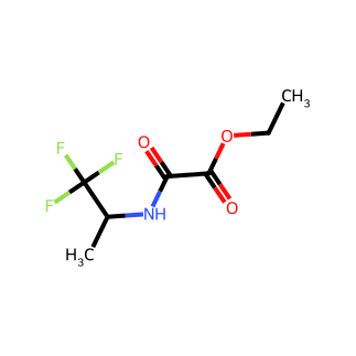 CCOC(=O)C(=O)NC(C)C(F)(F)F